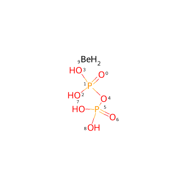 O=P(O)(O)OP(=O)(O)O.[BeH2]